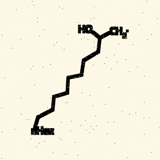 [CH2]C(O)CCCCCCCCCCCCCC